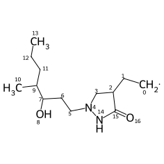 [CH2]CC1CN(CCC(O)C(C)CCC)NC1=O